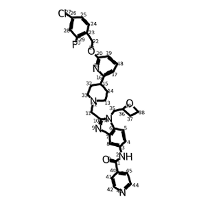 O=C(Nc1ccc2c(c1)nc(CN1CCC(c3cccc(OCc4ccc(Cl)cc4F)n3)CC1)n2CC1CCO1)c1ccncc1